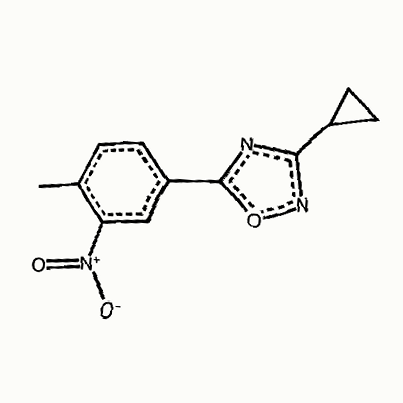 Cc1ccc(-c2nc(C3CC3)no2)cc1[N+](=O)[O-]